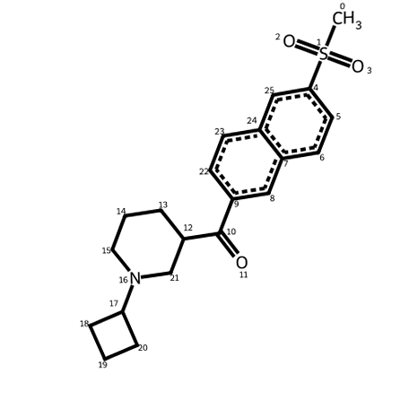 CS(=O)(=O)c1ccc2cc(C(=O)C3CCCN(C4CCC4)C3)ccc2c1